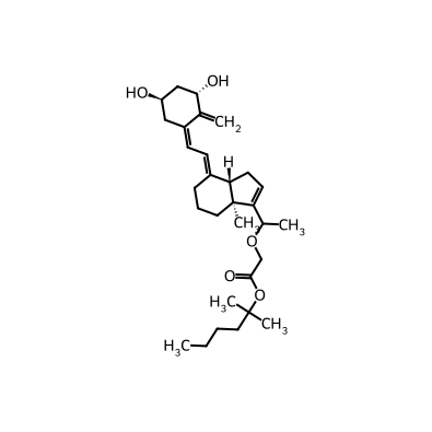 C=C1/C(=C\C=C2/CCC[C@]3(C)C(C(C)OCC(=O)OC(C)(C)CCCC)=CC[C@@H]23)C[C@@H](O)C[C@@H]1O